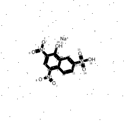 O=[N+]([O-])c1cc([N+](=O)[O-])c2ccc(S(=O)(=O)O)cc2c1O.[Na+]